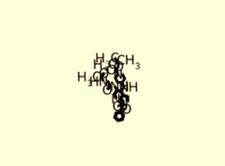 CC(=O)NCC(=O)Nc1cnc2c(ccn2S(=O)(=O)c2ccccc2)c1NC1CCN(C(=O)OC(C)(C)C)CC1